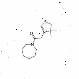 CC1(C)CSC=[N+]1CC(=O)N1CCCCCC1